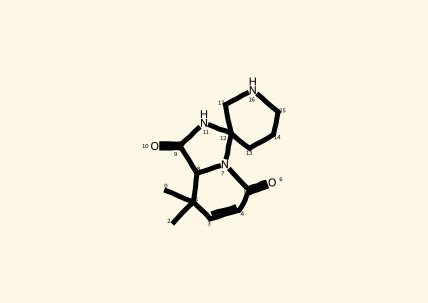 CC1(C)C=CC(=O)N2C1C(=O)NC21CCCNC1